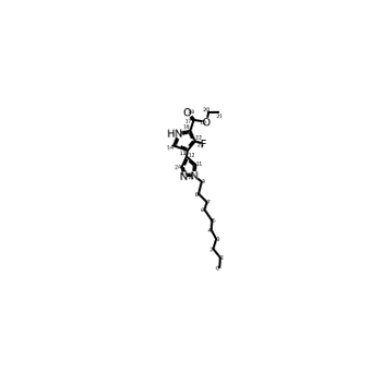 CCCCCCCCCCn1cc(-c2c[nH]c(C(=O)OCC)c2F)cn1